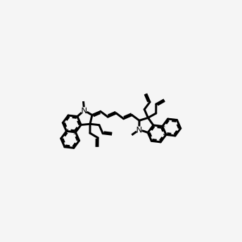 C=CCC1(CC=C)\C(=C/C=C/C=C/C2N(C)c3ccc4ccccc4c3C2(CC=C)CC=C)N(C)c2ccc3ccccc3c21